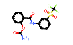 NC(=O)Oc1ccccc1C(=O)Nc1cccc(S(=O)(=O)C(F)(F)F)c1